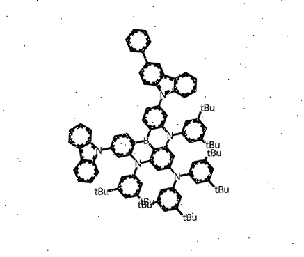 CC(C)(C)c1cc(N(c2cc(C(C)(C)C)cc(C(C)(C)C)c2)c2cc3c4c(c2)N(c2cc(C(C)(C)C)cc(C(C)(C)C)c2)c2cc(-n5c6ccccc6c6cc(-c7ccccc7)ccc65)ccc2B4c2ccc(-n4c5ccccc5c5ccccc54)cc2N3c2cc(C(C)(C)C)cc(C(C)(C)C)c2)cc(C(C)(C)C)c1